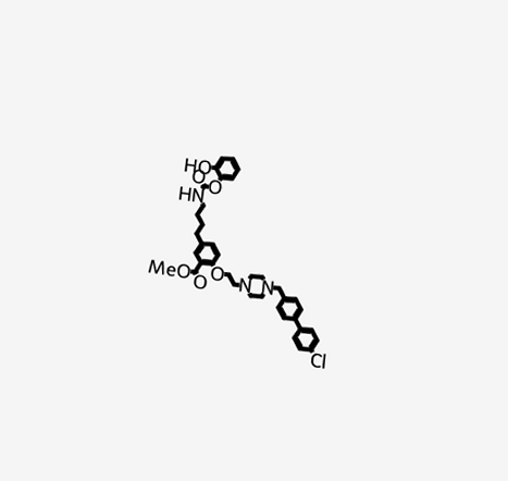 COC(=O)c1cc(CCCCNC(=O)Oc2ccccc2O)ccc1OCCN1CCN(Cc2ccc(-c3ccc(Cl)cc3)cc2)CC1